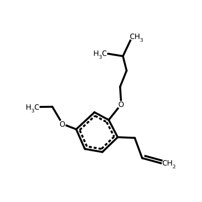 C=CCc1ccc(OCC)cc1OCCC(C)C